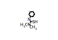 CN(C)/C(S)=N/c1c[c]ccc1